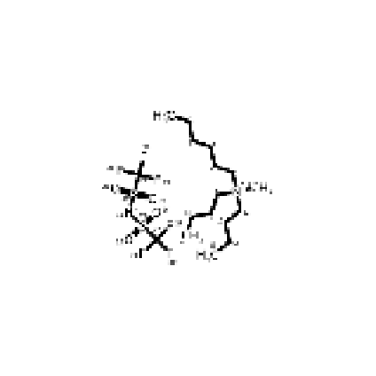 CCCCCC[N+](C)(CCCC)CCCC.O=S(=O)([N-]S(=O)(=O)C(F)(F)F)C(F)(F)F